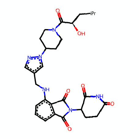 CC(C)C[C@@H](O)C(=O)N1CCC(n2cc(CNc3cccc4c3C(=O)N(C3CCC(=O)NC3=O)C4=O)cn2)CC1